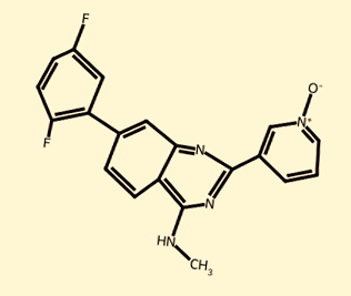 CNc1nc(-c2ccc[n+]([O-])c2)nc2cc(-c3cc(F)ccc3F)ccc12